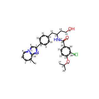 Cc1cccn2cc(-c3ccc(CC(CCO)NC(=O)c4ccc(OC(C)C)c(Cl)c4)cc3)nc12